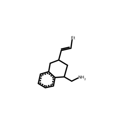 CC/C=C/C1Cc2ccccc2C(CN)C1